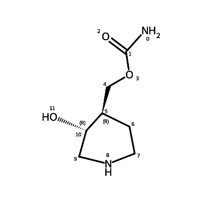 NC(=O)OC[C@H]1CCNC[C@@H]1O